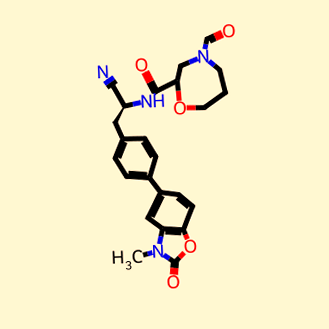 Cn1c(=O)oc2ccc(-c3ccc(C[C@@H](C#N)NC(=O)C4CN(C=O)CCCO4)cc3)cc21